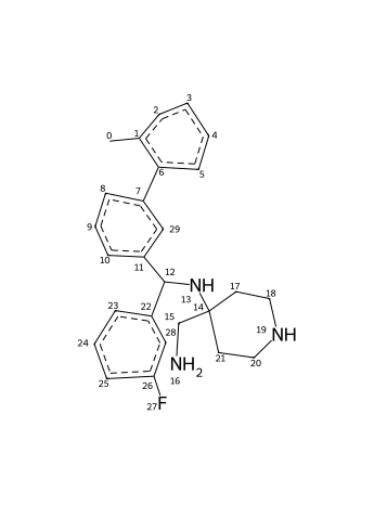 Cc1ccccc1-c1cccc(C(NC2(CN)CCNCC2)c2cccc(F)c2)c1